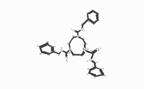 O=C(OCc1ccccc1)N1CCN(C(=O)OCc2ccccc2)CCN(C(=O)OCc2ccccc2)CC1